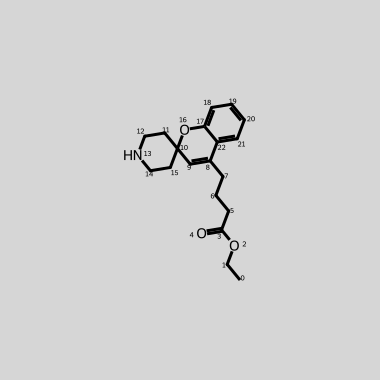 CCOC(=O)CCCC1=CC2(CCNCC2)Oc2ccccc21